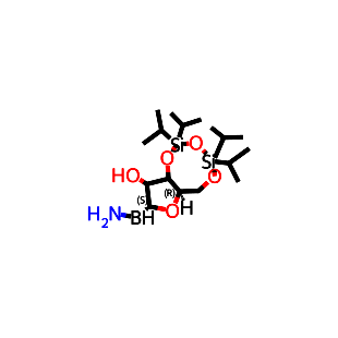 CC(C)[Si]1(C(C)C)OC[C@H]2O[C@@H](BN)C(O)C2O[Si](C(C)C)(C(C)C)O1